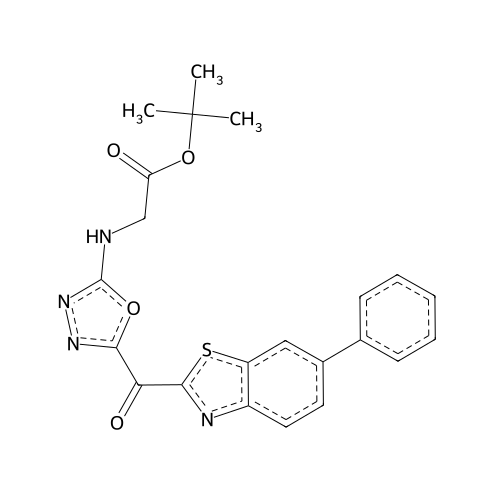 CC(C)(C)OC(=O)CNc1nnc(C(=O)c2nc3ccc(-c4ccccc4)cc3s2)o1